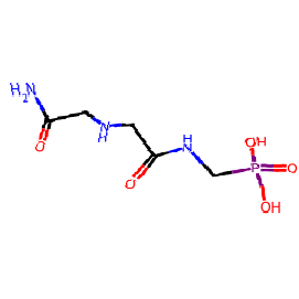 NC(=O)CNCC(=O)NCP(=O)(O)O